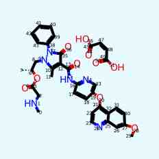 CNCC(=O)O[C@H](C)Cn1c(C)c(C(=O)Nc2ccc(Oc3ccnc4cc(OC)ccc34)cn2)c(=O)n1-c1ccccc1.O=C(O)/C=C\C(=O)O